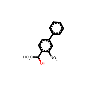 O=C(O)C(O)c1ccc(-c2ccccc2)cc1[N+](=O)[O-]